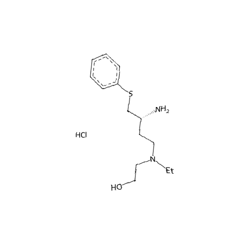 CCN(CCO)CC[C@@H](N)CSc1ccccc1.Cl